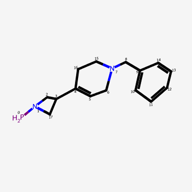 PN1CC(C2=CCN(Cc3ccccc3)CC2)C1